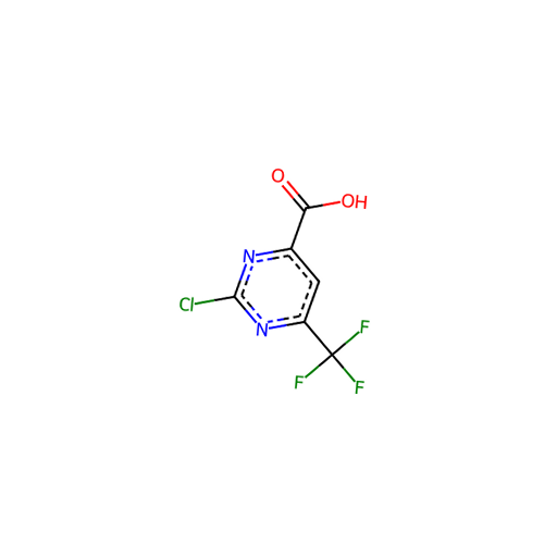 O=C(O)c1cc(C(F)(F)F)nc(Cl)n1